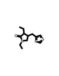 CCC1C(=O)N(CC)CC1Cc1cscn1